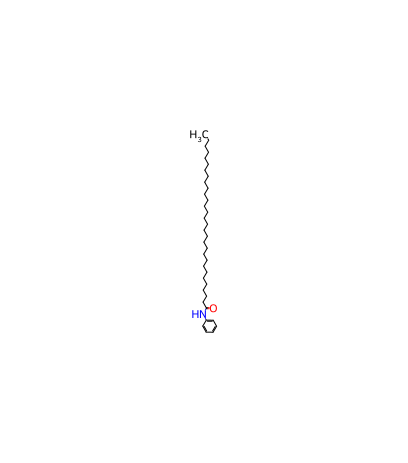 CCCCCCCCCCCCCCCCCCCCCCCCCCCCCC(=O)Nc1ccccc1